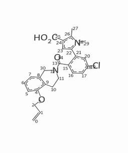 C=CCOc1cccc2c1CCN(C(=O)c1ccc(Cl)cc1-c1cc(C(=O)O)c(C)n1C)C2